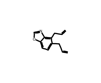 C=CCc1ccc2o[c]nc2c1CC=C